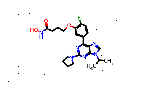 CC(C)n1cnc2c(-c3ccc(F)c(OCCCC(=O)NO)c3)nc(N3CCCC3)nc21